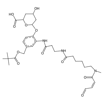 CN(CCCCCC(=O)NCCC(=O)Nc1cc(COC(=O)C(C)(C)C)ccc1OC1CC(O)CC(C(=O)O)O1)C(=O)/C=C\C=O